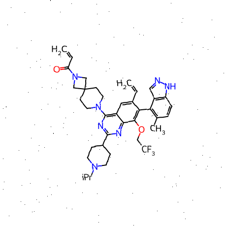 C=CC(=O)N1CC2(CCN(c3nc(C4CCN(C(C)C)CC4)nc4c(OCC(F)(F)F)c(-c5c(C)ccc6[nH]ncc56)c(C=C)cc34)CC2)C1